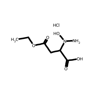 CCOC(=O)CC(C(=O)O)N(N)O.Cl